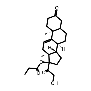 CCC(=O)O[C@]1(C(=O)CO)CC[C@H]2[C@@H]3CCC4CC(=O)CC[C@]4(C)C3=CC[C@@]21C